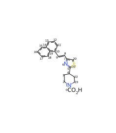 O=C(O)N1CCC(c2nc(C=Cc3cccc4ccccc34)cs2)CC1